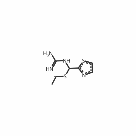 C[CH]SC(NC(=N)N)c1nccs1